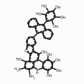 Bc1c(B)c(O)c2c3c1Bc1c(O)c(O)c(O)c(O)c1-c3c(O)c1c3cc(-c4c5ccccc5c(-c5c(O)c(O)c(O)c(O)c5O)c5ccccc45)ccc3oc21